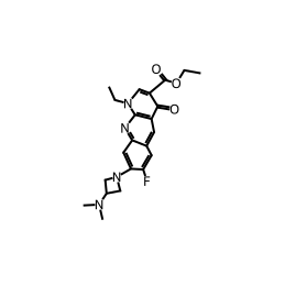 CCOC(=O)c1cn(CC)c2nc3cc(N4CC(N(C)C)C4)c(F)cc3cc2c1=O